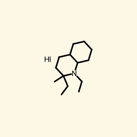 CCN1C2CCCCC2CCC1(C)CC.I